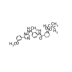 COc1cccc(-c2cncc(N[C@@H](C)c3cccc(NC(=O)C4CCCN(C(=O)OC(C)(C)C)C4)c3)n2)c1